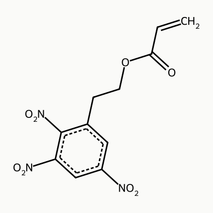 C=CC(=O)OCCc1cc([N+](=O)[O-])cc([N+](=O)[O-])c1[N+](=O)[O-]